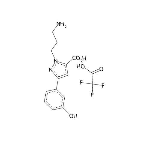 NCCCn1nc(-c2cccc(O)c2)cc1C(=O)O.O=C(O)C(F)(F)F